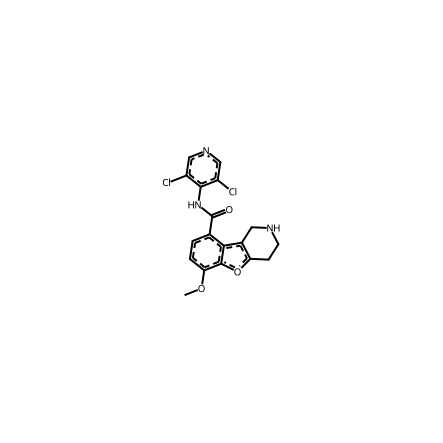 COc1ccc(C(=O)Nc2c(Cl)cncc2Cl)c2c3c(oc12)CCNC3